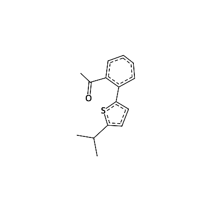 CC(=O)c1ccccc1-c1ccc(C(C)C)s1